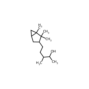 CC(O)C(C)CCC1CC2CC2(C)C1(C)C